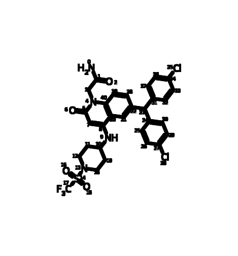 NC(=O)Cn1c(=O)cc(NC2CCN(S(=O)(=O)C(F)(F)F)CC2)c2cc(C(c3ccc(Cl)cc3)c3ccc(Cl)cc3)ccc21